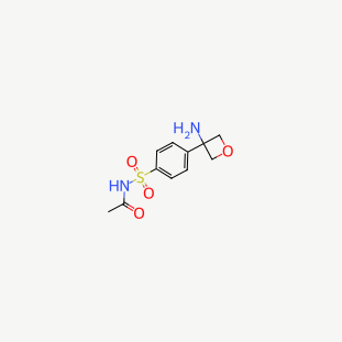 CC(=O)NS(=O)(=O)c1ccc(C2(N)COC2)cc1